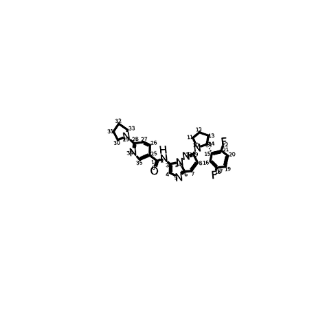 O=C(Nc1cnc2ccc(N3CCC[C@@H]3c3cc(F)ccc3F)nn12)c1ccc(N2CCCC2)nc1